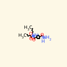 CCCCC(=O)NN(C(=O)CCCC)C(=O)c1ccc(C(=O)NN)cc1